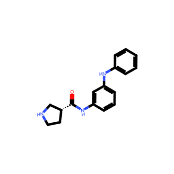 O=C(Nc1cccc(Nc2ccccc2)c1)[C@@H]1CCNC1